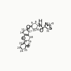 Cc1nc(C(=O)NC2CCC(Oc3ccc4c(c3)CCC(c3ccccc3F)O4)CC2)cs1